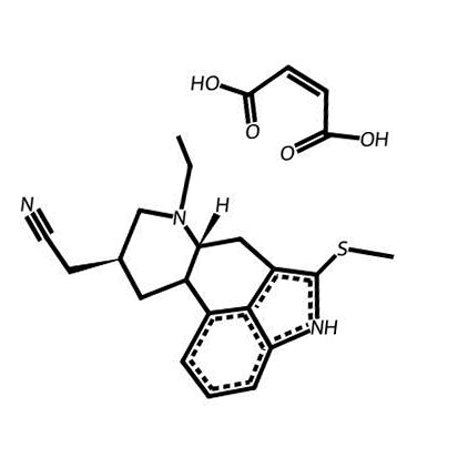 CCN1C[C@H](CC#N)CC2c3cccc4[nH]c(SC)c(c34)C[C@H]21.O=C(O)/C=C\C(=O)O